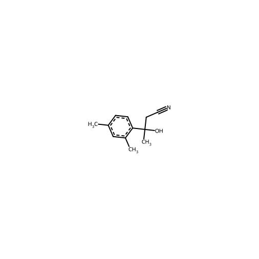 Cc1ccc(C(C)(O)CC#N)c(C)c1